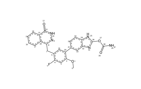 COc1cc(F)c(Cc2n[nH]c(=O)c3ccccc23)cc1-c1ccc2[nH]c(OC(N)=O)nc2c1